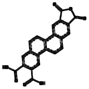 O=C(O)c1cc2ccc3c4cc5c(cc4ccc3c2cc1C(=O)O)C(=O)OC5=O